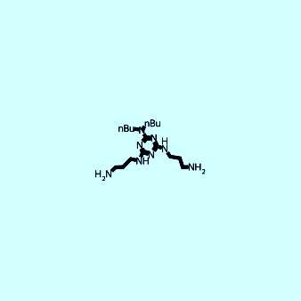 CCCCN(CCCC)c1nc(NCCCN)nc(NCCCN)n1